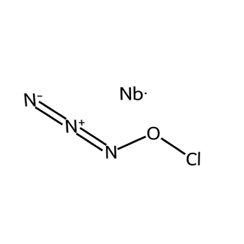 [N-]=[N+]=NOCl.[Nb]